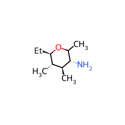 CC[C@H]1OC(C)[C@H](N)[C@@H](C)[C@@H]1C